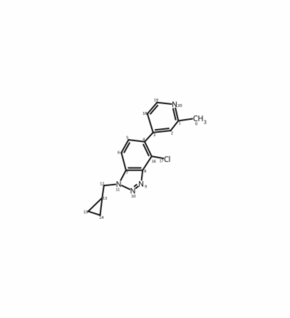 Cc1cc(-c2ccc3c(nnn3CC3CC3)c2Cl)ccn1